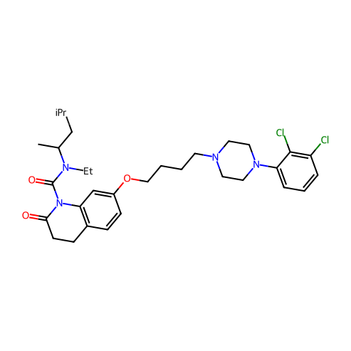 CCN(C(=O)N1C(=O)CCc2ccc(OCCCCN3CCN(c4cccc(Cl)c4Cl)CC3)cc21)C(C)CC(C)C